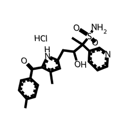 Cc1ccc(C(=O)c2[nH]c(CC(O)C(C)(c3cccnc3)S(N)(=O)=O)cc2C)cc1.Cl